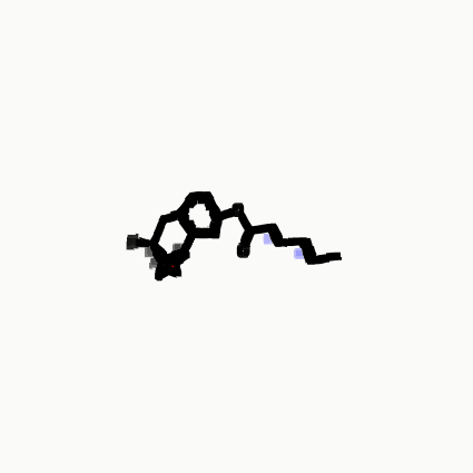 C/C=C/C=C/C(=O)Oc1ccc2c(c1)[C@@]13CCCC4(C1)[C@@H]3[C@H](C2)N4C